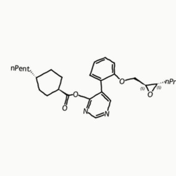 CCCCC[C@H]1CC[C@H](C(=O)Oc2ncncc2-c2ccccc2OC[C@@H]2O[C@H]2CCC)CC1